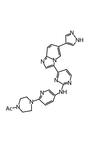 CC(=O)N1CCN(c2ccc(Nc3nccc(-c4cnc5ccc(-c6cn[nH]c6)cn45)n3)cn2)CC1